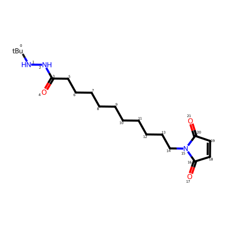 CC(C)(C)NNC(=O)CCCCCCCCCCN1C(=O)C=CC1=O